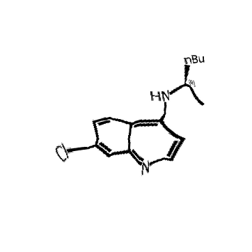 CCCC[C@@H](C)Nc1ccnc2cc(Cl)ccc12